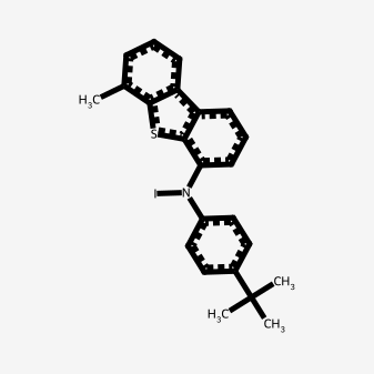 Cc1cccc2c1sc1c(N(I)c3ccc(C(C)(C)C)cc3)cccc12